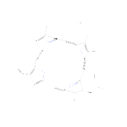 C=Cc1c(C)c2cc3nc(c(CC(=O)O)c4[n-]c(cc5nc(cc1[n-]2)C(C)=C5CC)c(C)c4C(=O)O)[C@@H](CCC(=O)O)[C@@H]3C.[Mg+2]